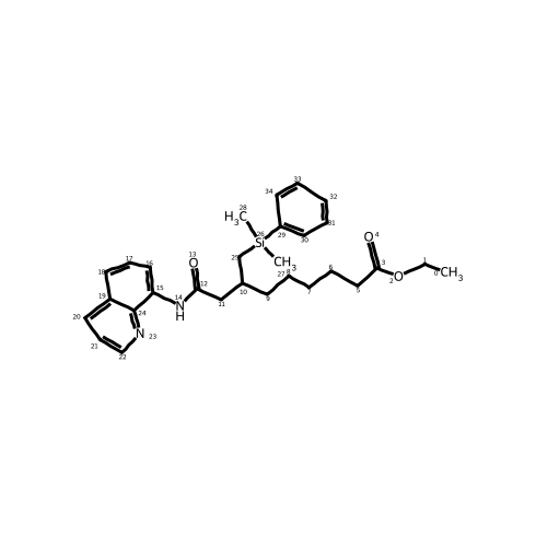 CCOC(=O)CCCCCC(CC(=O)Nc1cccc2cccnc12)C[Si](C)(C)c1ccccc1